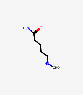 NC(=O)CCCCNC=O